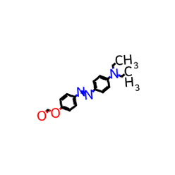 CCN(CC)c1ccc(N=Nc2ccc(OC=O)cc2)cc1